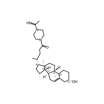 CC(=N)N1CCN(C(=O)CCC(C)[C@H]2CC[C@H]3[C@@H]4CC=C5C[C@@H](O)CC[C@]5(C)[C@H]4CC[C@]23C)CC1